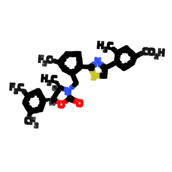 Cc1cc(C(=O)O)ccc1-c1csc(-c2ccc(C(F)(F)F)cc2CN2C(=O)O[C@H](c3cc(C(F)(F)F)cc(C(F)(F)F)c3)[C@@H]2C)n1